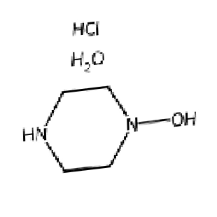 Cl.O.ON1CCNCC1